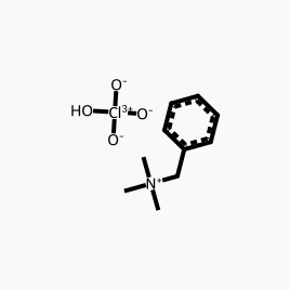 C[N+](C)(C)Cc1ccccc1.[O-][Cl+3]([O-])([O-])O